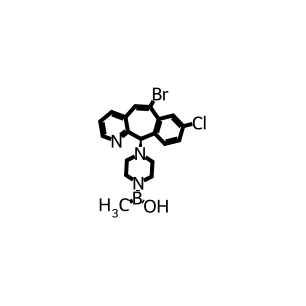 CB(O)N1CCN([C@@H]2c3ccc(Cl)cc3C(Br)=Cc3cccnc32)CC1